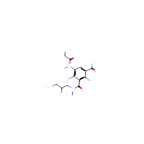 CC(=O)OCC(=O)N(I)c1cc(C(=O)Cl)c(I)c(C(=O)N(C)CC(O)CO)c1I